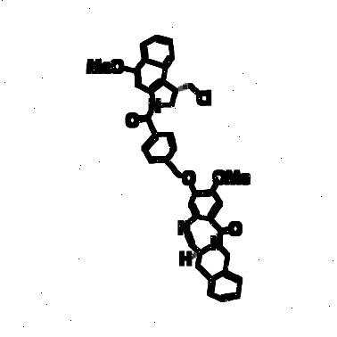 COc1cc2c(cc1OCc1ccc(C(=O)N3C[C@@H](CCl)c4c3cc(OC)c3ccccc43)cc1)N=C[C@@H]1Cc3ccccc3CN1C2=O